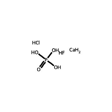 Cl.F.O=P(O)(O)O.[CaH2]